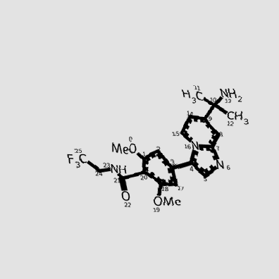 COc1cc(-c2cnc3cc(C(C)(C)N)ccn23)cc(OC)c1C(=O)NCC(F)(F)F